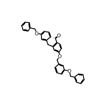 O=[C]c1ccc(OCc2cccc(OCc3ccccc3)c2)cc1Cc1cccc(OCc2ccccc2)c1